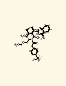 CCOCCN(C(=O)Cc1ccc(C(F)(F)F)cc1)C(C)c1c(CC)cccc1-c1nc2ccccc2c(=O)[nH]1